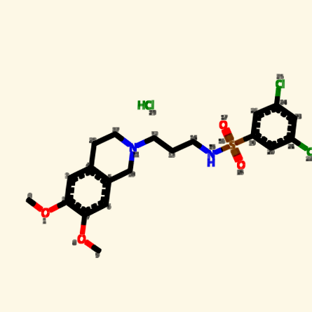 COc1cc2c(cc1OC)CN(CCCNS(=O)(=O)c1cc(Cl)cc(Cl)c1)CC2.Cl